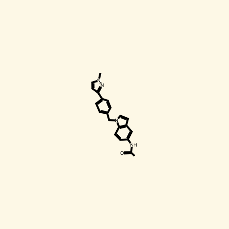 CC(=O)Nc1ccc2c(ccn2Cc2ccc(-c3ccn(C)n3)cc2)c1